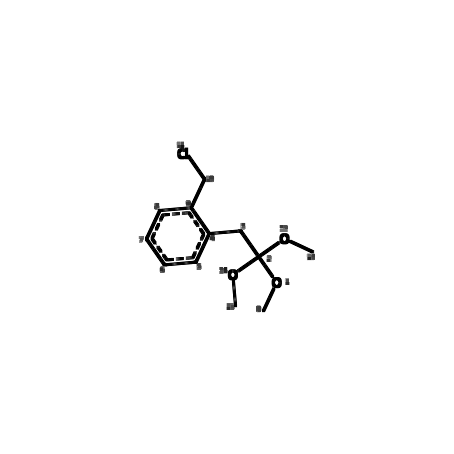 COC(Cc1ccccc1CCl)(OC)OC